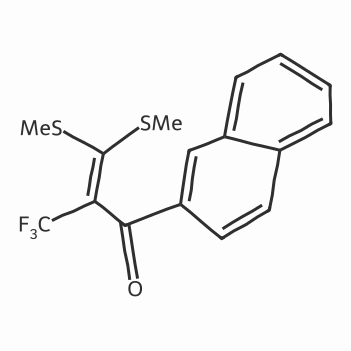 CSC(SC)=C(C(=O)c1ccc2ccccc2c1)C(F)(F)F